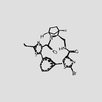 Cc1cccc(-c2sc(C)nc2C(=O)N2[C@@H]3CC[C@@H](C3)[C@H]2CNC(=O)c2csc(Br)n2)c1